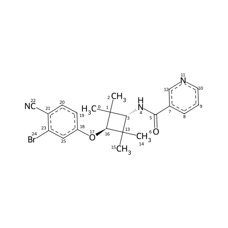 CC1(C)[C@H](NC(=O)c2cccnc2)C(C)(C)[C@H]1Oc1ccc(C#N)c(Br)c1